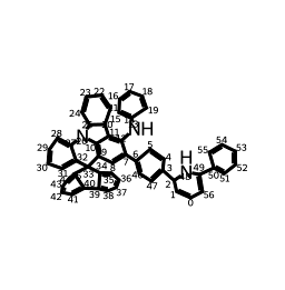 C1=CC(c2ccc(-c3cc4c5c(c3Nc3ccccc3)C3C=CC=CC3N5c3ccccc3C43c4ccccc4-c4ccccc43)cc2)NC(c2ccccc2)=C1